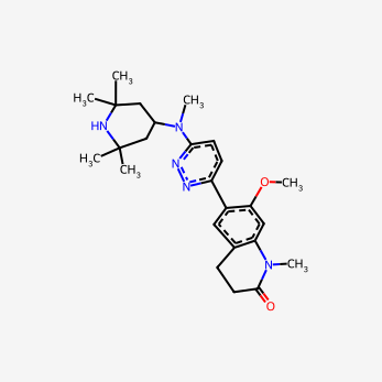 COc1cc2c(cc1-c1ccc(N(C)C3CC(C)(C)NC(C)(C)C3)nn1)CCC(=O)N2C